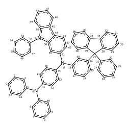 c1ccc(N(c2ccccc2)c2ccc(N(c3cccc(C4(c5ccccc5)c5ccccc5-c5ccccc54)c3)c3ccc4c5ccccc5n(-c5ccccc5)c4c3)cc2)cc1